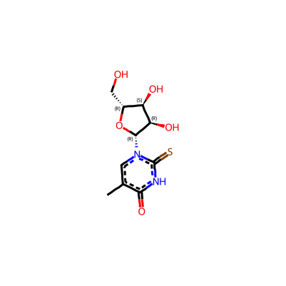 Cc1cn([C@@H]2O[C@H](CO)[C@@H](O)[C@H]2O)c(=S)[nH]c1=O